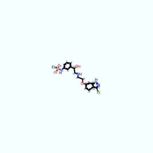 CCS(=O)(=O)Nc1cccc(C(O)CNCCOc2ccc3c(Cl)n[nH]c3c2)c1